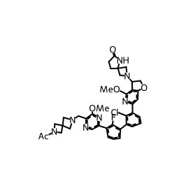 COc1nc(-c2cccc(-c3cccc(-c4cc5c(c(OC)n4)C(N4CC6(CCC(=O)N6)C4)CO5)c3Cl)c2F)cnc1CN1CC2(C1)CN(C(C)=O)C2